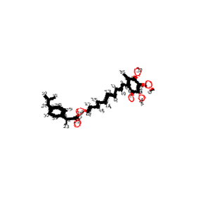 COC1=C(OC)C(=O)C(CCCCCCCCCCOC(=O)[C@@H](C)c2ccc(CC(C)C)cc2)=C(C)C1=O